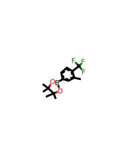 Cc1cc(B2OC(C)(C)C(C)(C)O2)ccc1C(F)(F)F